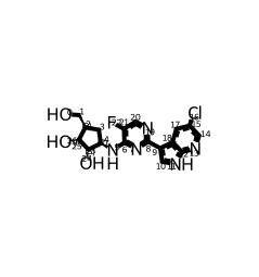 OC[C@H]1C[C@@H](Nc2nc(-c3c[nH]c4ncc(Cl)cc34)ncc2F)[C@H](O)[C@@H]1O